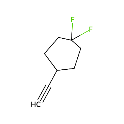 C#CC1CCC(F)(F)CC1